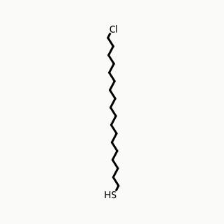 SCCCCCCCCCCCCCCCCCCCl